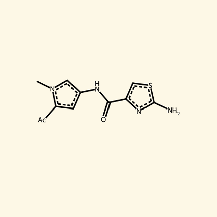 CC(=O)c1cc(NC(=O)c2csc(N)n2)cn1C